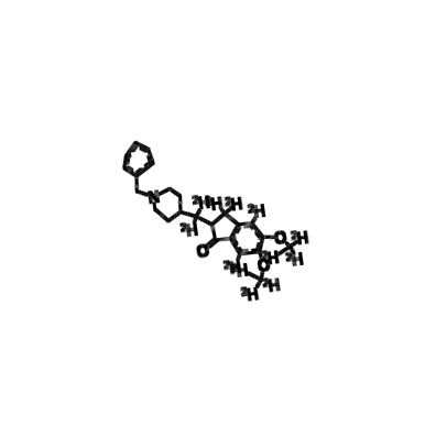 [2H]c1c(OC([2H])([2H])[2H])c(OC([2H])([2H])[2H])c([2H])c2c1C(=O)C(C([2H])([2H])C1CCN(Cc3ccccc3)CC1)C2([2H])[2H]